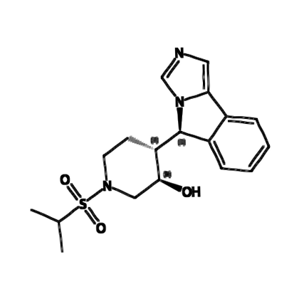 CC(C)S(=O)(=O)N1CC[C@H]([C@@H]2c3ccccc3-c3cncn32)[C@@H](O)C1